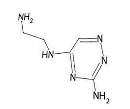 NCCNc1cnnc(N)n1